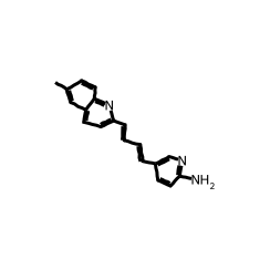 Cc1ccc2nc(/C=C/C=C/c3ccc(N)nc3)ccc2c1